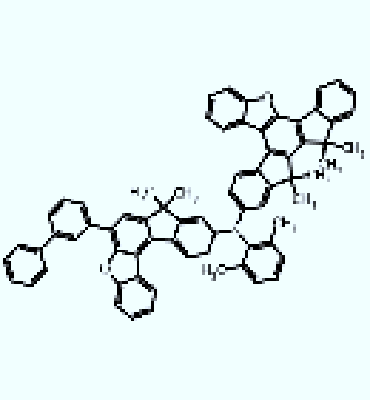 Cc1cccc(C)c1N(c1ccc2c(c1)C(C)(C)c1c3c(c4oc5ccccc5c4c1-2)-c1ccccc1C3(C)C)C1C=C2C(=CC1)c1c(cc(-c3cccc(-c4ccccc4)c3)c3oc4ccccc4c13)C2(C)C